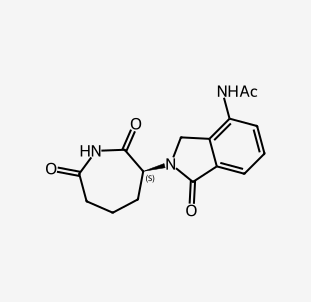 CC(=O)Nc1cccc2c1CN([C@H]1CCCC(=O)NC1=O)C2=O